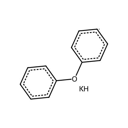 [KH].[c]1ccc(Oc2ccccc2)cc1